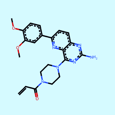 C=CC(=O)N1CCN(c2nc(N)nc3ccc(-c4ccc(OC)c(OC)c4)nc23)CC1